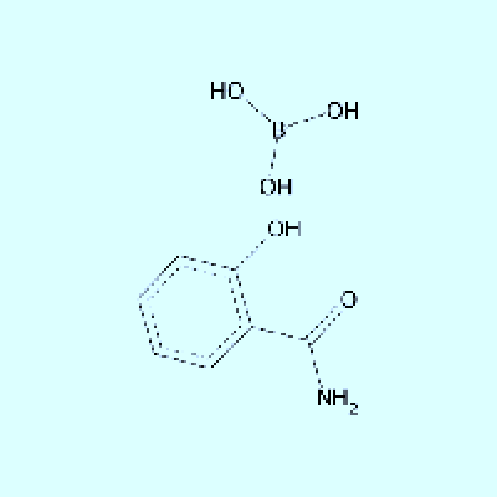 NC(=O)c1ccccc1O.OB(O)O